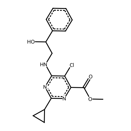 COC(=O)c1nc(C2CC2)nc(NCC(O)c2ccccc2)c1Cl